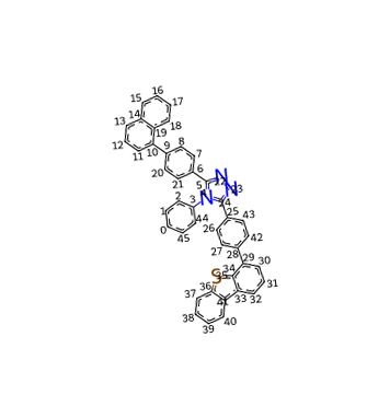 c1ccc(-n2c(-c3ccc(-c4cccc5ccccc45)cc3)nnc2-c2ccc(-c3cccc4c3sc3ccccc34)cc2)cc1